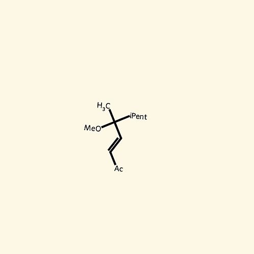 CCCC(C)C(C)(C=CC(C)=O)OC